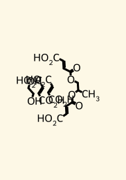 CC(COC(=O)/C=C/C(=O)O)OC(=O)/C=C/C(=O)O.O=C(O)/C=C/C(=O)O.O=C(O)/C=C/C(=O)O.OCCO